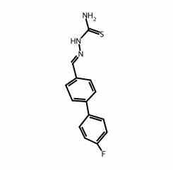 NC(=S)NN=Cc1ccc(-c2ccc(F)cc2)cc1